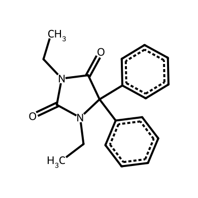 CCN1C(=O)N(CC)C(c2ccccc2)(c2ccccc2)C1=O